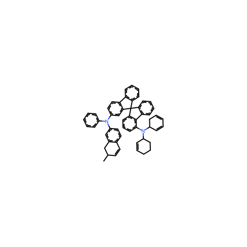 CC1C=Cc2ccc(N(c3ccccc3)c3ccc4c(c3)C3(c5ccccc5-4)c4ccccc4-c4c(N(C5C=CC=CC5)C5C=CCCC5)cccc43)cc2C1